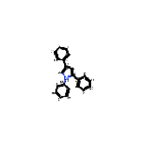 c1ccc(-c2cc(-c3ccccc3)n(-c3ccccc3)c2)cc1